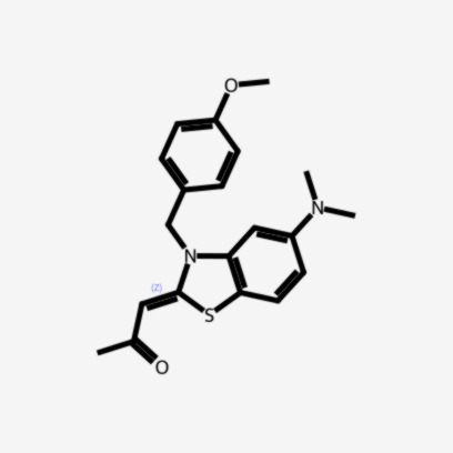 COc1ccc(CN2/C(=C/C(C)=O)Sc3ccc(N(C)C)cc32)cc1